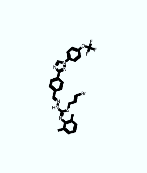 Cc1cccc(C)c1/N=C(/N/N=C/c1ccc(-c2ncn(-c3ccc(OC(F)(F)F)cc3)n2)cc1)SC/C=C/Br